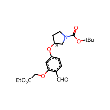 CCOC(=O)COc1cc(O[C@H]2CCN(C(=O)OC(C)(C)C)C2)ccc1C=O